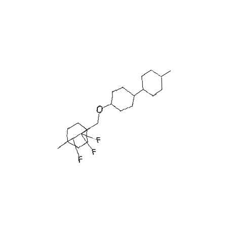 CC1CCC(C2CCC(OCC34CCC(C)(CC3)C(F)C4(F)F)CC2)CC1